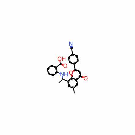 Cc1cc([C@@H](C)Nc2ccccc2C(=O)O)c2oc(-c3ccc(C#N)cc3)cc(=O)c2c1